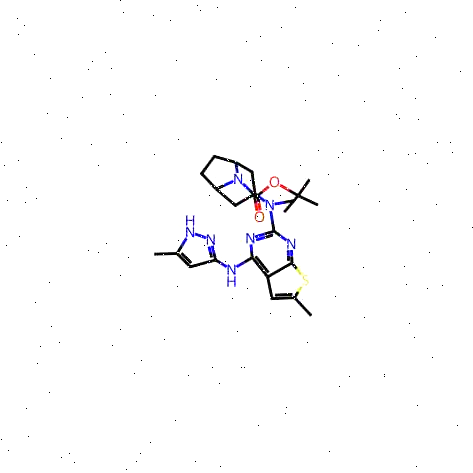 Cc1cc(Nc2nc(N(C)C3CC4CCC(C3)N4C(=O)OC(C)(C)C)nc3sc(C)cc23)n[nH]1